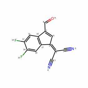 N#CC(C#N)=C1C=C(C=O)c2cc(F)c(F)cc21